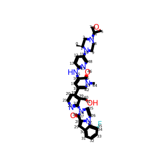 C[C@H]1CN(C2COC2)CCN1c1ccc(Nc2cc(-c3ccnc(-n4ccn5c(cc6cccc(F)c65)c4=O)c3CO)cn(C)c2=O)nc1